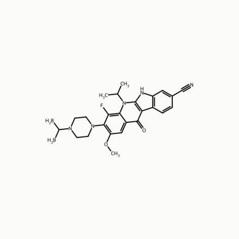 BC(B)N1CCN(c2c(OC)cc3c(=O)c4c5ccc(C#N)cc5[nH]c4n(C(C)C)c3c2F)CC1